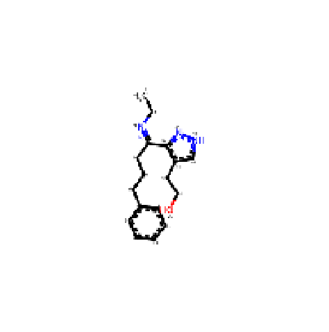 CC/N=C(/CCCc1ccccc1)c1n[nH]cc1CCO